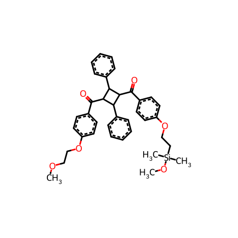 COCCOc1ccc(C(=O)C2C(c3ccccc3)C(C(=O)c3ccc(OCC[Si](C)(C)OC)cc3)C2c2ccccc2)cc1